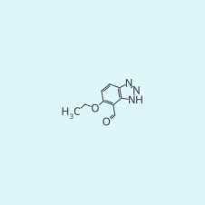 CCOc1ccc2nn[nH]c2c1C=O